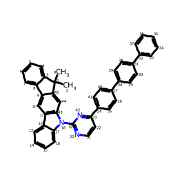 CC1(C)c2ccccc2-c2cc3c4ccccc4n(-c4nccc(-c5ccc(-c6ccc(-c7ccccc7)cc6)cc5)n4)c3cc21